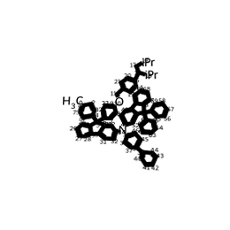 Cc1ccc(C2(c3ccc(OCc4ccc(C(CC(C)C)C(C)C)cc4)cc3)c3ccccc3-c3ccc(N(c4ccc(-c5ccccc5)cc4)c4ccc5c(c4)C(c4ccccc4)(c4ccccc4)c4ccccc4-5)cc32)cc1